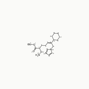 CC(C)(C)OC(=O)C(CCC=C(Cn1ccnc1)C1CCCCC1)ON